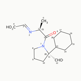 C[C@H](N=CC(=O)O)C(=O)N1CCC[C@]1([C]=O)C1CCCCC1